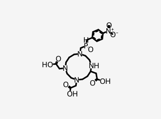 O=C(O)CC1CCN(CC(=O)O)CCN(CC(=O)O)CCCN(C[PH](=O)Cc2ccc([N+](=O)[O-])cc2)CCN1